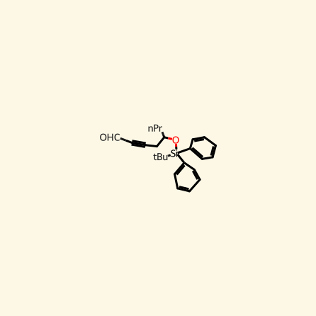 CCCC(CC#CC=O)O[Si](c1ccccc1)(c1ccccc1)C(C)(C)C